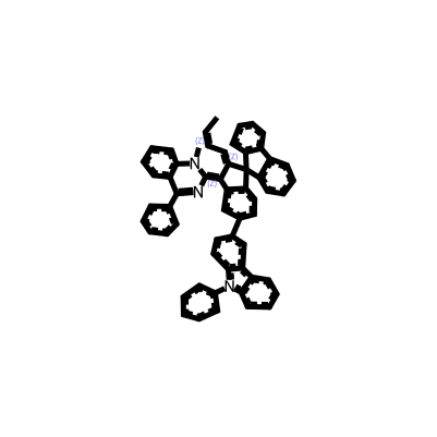 C\C=C/C=C1\C(=C2\N=C(c3ccccc3)c3ccccc3N2C)c2cc(-c3ccc4c(c3)c3ccccc3n4-c3ccccc3)ccc2C12c1ccccc1-c1ccccc12